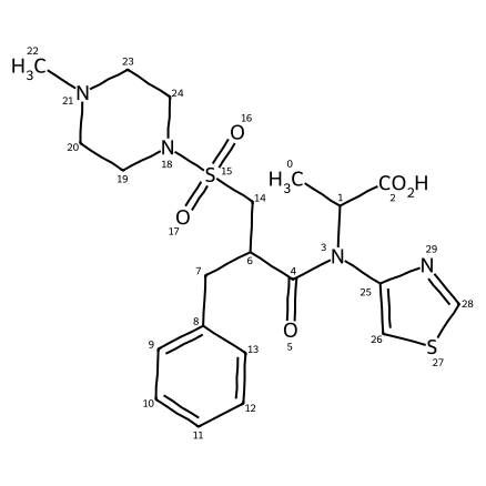 CC(C(=O)O)N(C(=O)C(Cc1ccccc1)CS(=O)(=O)N1CCN(C)CC1)c1cscn1